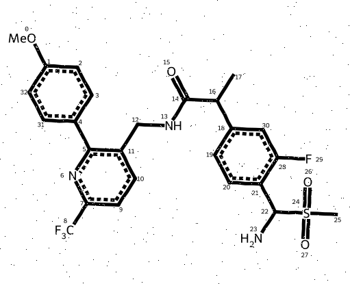 COc1ccc(-c2nc(C(F)(F)F)ccc2CNC(=O)C(C)c2ccc(C(N)S(C)(=O)=O)c(F)c2)cc1